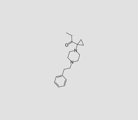 C[CH]C(=O)C1(N2CCN(CCc3ccccc3)CC2)CC1